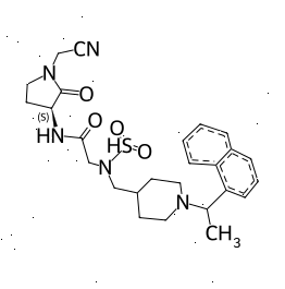 CC(c1cccc2ccccc12)N1CCC(CN(CC(=O)N[C@H]2CCN(CC#N)C2=O)[SH](=O)=O)CC1